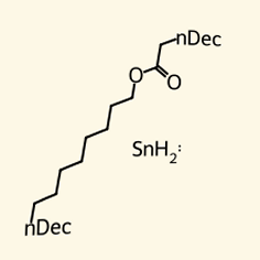 CCCCCCCCCCCCCCCCCCOC(=O)CCCCCCCCCCC.[SnH2]